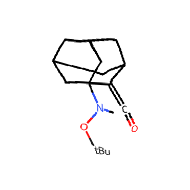 CN(OC(C)(C)C)C12CC3CC(CC(C3)C1=C=O)C2